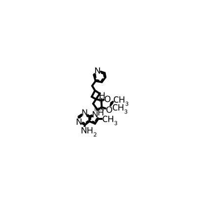 Cc1cc2c(N)ncnc2n1[C@@H]1CC2(CC(Cc3cccnc3)C2)[C@H]2OC(C)(C)O[C@@H]12